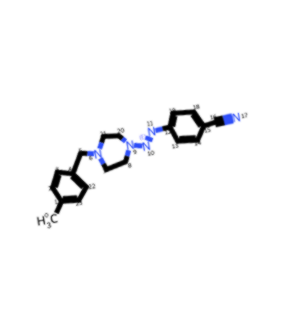 Cc1ccc(CN2CCN(/N=N/c3ccc(C#N)cc3)CC2)cc1